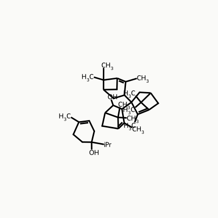 CC1=C2CC(CC1C1(C3C(C)=C4CC(C3O)C4(C)C)CC3CC(=C1C)C3(C)C)C2(C)C.CC1=CCC(O)(C(C)C)CC1